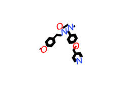 COc1ccc(CCN2C(=O)CN(C)C2c2ccc(OCc3ccncc3)cc2)cc1